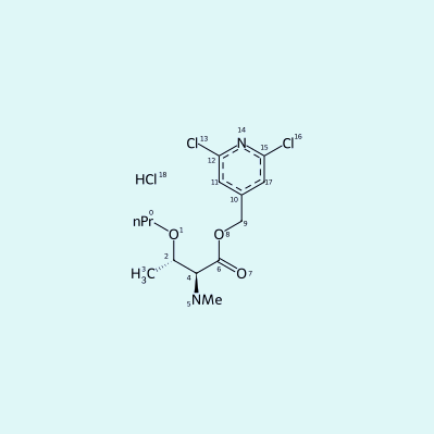 CCCO[C@@H](C)[C@H](NC)C(=O)OCc1cc(Cl)nc(Cl)c1.Cl